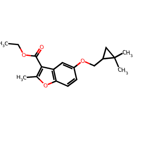 CCOC(=O)c1c(C)oc2ccc(OCC3CC3(C)C)cc12